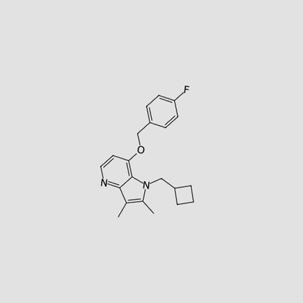 Cc1c(C)n(CC2CCC2)c2c(OCc3ccc(F)cc3)ccnc12